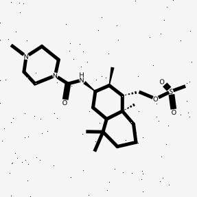 C[C@@H]1[C@H](NC(=O)N2CCN(C)CC2)CC2C(C)(C)CCC[C@]2(C)[C@H]1COS(C)(=O)=O